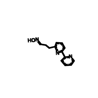 ON=CCCc1cccc(-c2ccccn2)n1